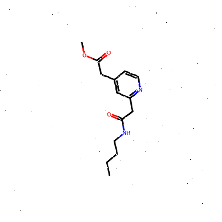 CCCCNC(=O)Cc1cc(CC(=O)OC)ccn1